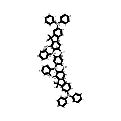 CC1(C)c2cc(N(c3ccccc3)c3ccccc3)ccc2-c2cc3c4c(c21)Sc1ccccc1B4c1cc2c(cc1S3)Sc1cc3c(c4c1B2c1ccccc1S4)C(C)(C)c1cc(N(c2ccccc2)c2ccccc2)ccc1-3